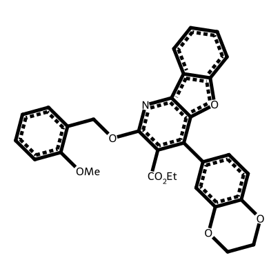 CCOC(=O)c1c(OCc2ccccc2OC)nc2c(oc3ccccc32)c1-c1ccc2c(c1)OCCO2